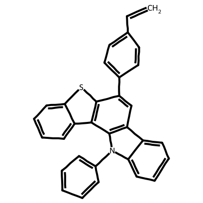 C=Cc1ccc(-c2cc3c4ccccc4n(-c4ccccc4)c3c3c2sc2ccccc23)cc1